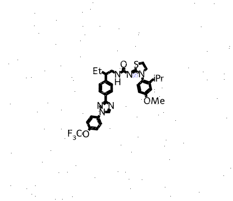 CCC(CNC(=O)/N=C1\SCCN1c1ccc(OC)cc1C(C)C)c1ccc(-c2ncn(-c3ccc(OC(F)(F)F)cc3)n2)cc1